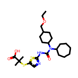 CCOCC1CCC(N(C(=O)Nc2ncc(SC(C)(C)C(=O)O)s2)C2CCCCCC2)CC1